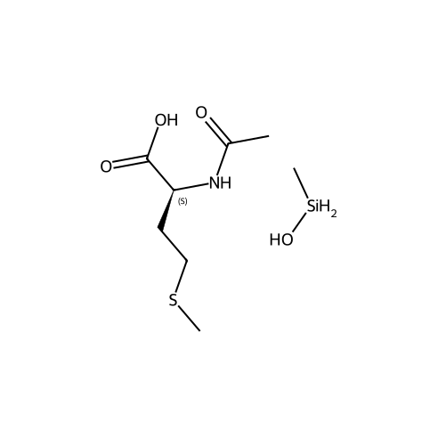 CSCC[C@H](NC(C)=O)C(=O)O.C[SiH2]O